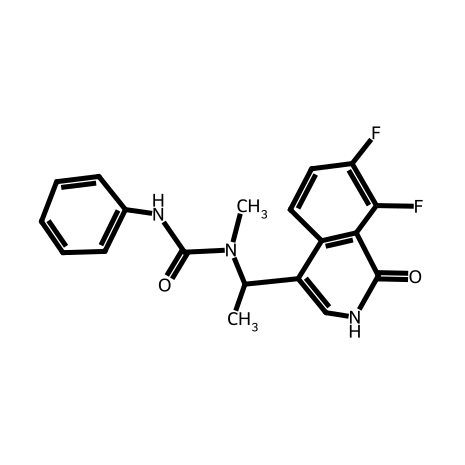 CC(c1c[nH]c(=O)c2c(F)c(F)ccc12)N(C)C(=O)Nc1ccccc1